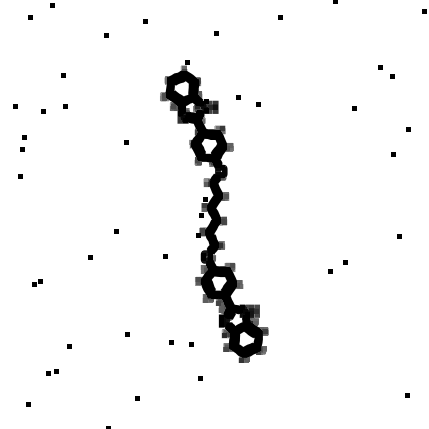 c1ccc2[nH]c(-c3ccc(OCCCCCCOc4ccc(-c5nc6ccccc6[nH]5)cc4)cc3)nc2c1